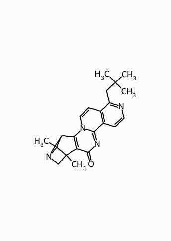 CC(C)(C)Cc1nccc2c1ccn1c3c(c(=O)nc21)C1(C)CN2C3C21C